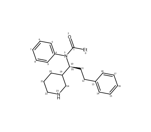 CCC(=O)N(c1ccccc1)[C@@H](CCc1ccccc1)C1CCCNC1